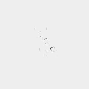 Cc1onc(C2C3CN(C(=O)OC(C)(C)C)C[C@H]32)c1N(C)C